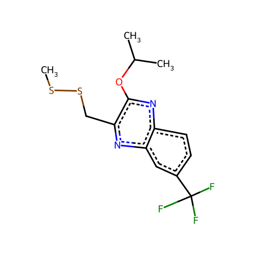 CSSCc1nc2cc(C(F)(F)F)ccc2nc1OC(C)C